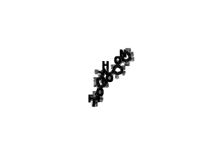 CC(NC(=O)c1cccc(Oc2ccccn2)c1)c1ccc(OCC(F)(F)F)cn1